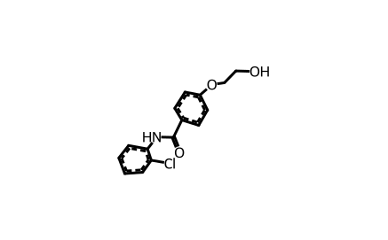 O=C(Nc1ccccc1Cl)c1ccc(OCCO)cc1